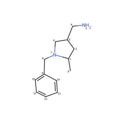 CC1CC(CN)CN1Cc1ccccc1